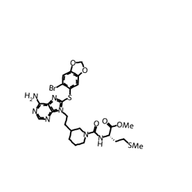 COC(=O)[C@H](CCSC)NC(=O)N1CCCC(CCn2c(Sc3cc4c(cc3Br)OCO4)nc3c(N)ncnc32)C1